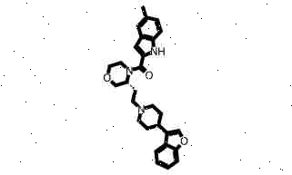 Cc1ccc2[nH]c(C(=O)N3CCOC[C@H]3CCN3CCC(c4coc5ccccc45)CC3)cc2c1